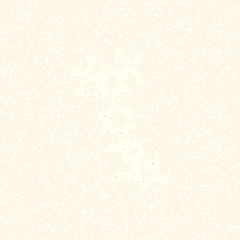 C[C@]1(CS(=O)(=O)N2CCC(c3cc(C(F)(F)F)cc(C(F)(F)F)c3)CC2)NC(=O)NC1=O